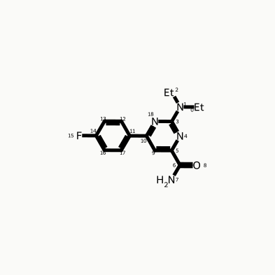 CCN(CC)c1nc(C(N)=O)cc(-c2ccc(F)cc2)n1